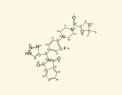 CC1(C)OCC(C(=O)N2CCN(c3ccc(C(c4c[nH]nn4)N4C(=O)c5ccccc5C4=O)cc3F)CC2)O1